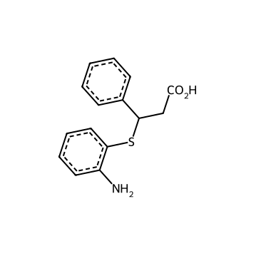 Nc1ccccc1SC(CC(=O)O)c1ccccc1